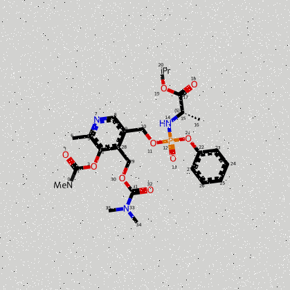 CNC(=O)Oc1c(C)ncc(COP(=O)(N[C@@H](C)C(=O)OC(C)C)Oc2ccccc2)c1COC(=O)N(C)C